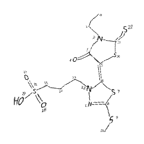 CCN1C(=O)C(=C2SC(SC)=NN2CCCS(=O)(=O)O)SC1=S